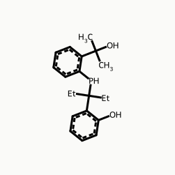 CCC(CC)(Pc1ccccc1C(C)(C)O)c1ccccc1O